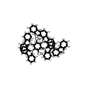 N#Cc1c(-n2c3ccccc3c3ccccc32)c(-n2c3ccccc3c3ccccc32)c(C#N)c(-n2c3cc(-c4cccc5sc6ccccc6c45)ccc3c3ccc4c5ccccc5oc4c32)c1-n1c2ccccc2c2ccccc21